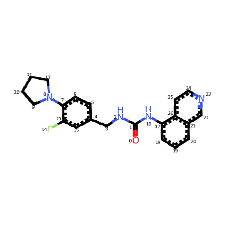 O=C(NCc1ccc(N2CCCC2)c(F)c1)Nc1cccc2cnccc12